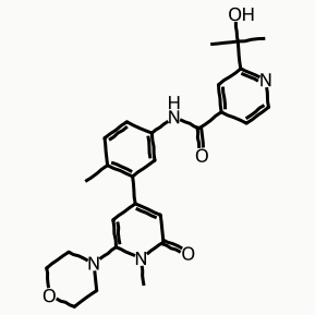 Cc1ccc(NC(=O)c2ccnc(C(C)(C)O)c2)cc1-c1cc(N2CCOCC2)n(C)c(=O)c1